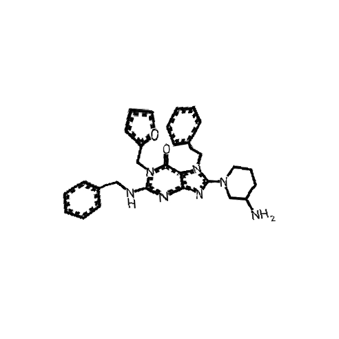 NC1CCCN(c2nc3nc(NCc4ccccc4)n(Cc4ccco4)c(=O)c3n2Cc2ccccc2)C1